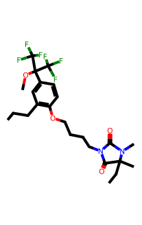 CCCc1cc(C(OC)(C(F)(F)F)C(F)(F)F)ccc1OCCCCN1C(=O)N(C)C(C)(CC)C1=O